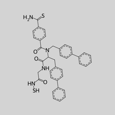 NC(=S)c1ccc(C(=O)N(Cc2ccc(-c3ccccc3)cc2)C(Cc2ccc(-c3ccccc3)cc2)C(=O)NCC(=O)NS)cc1